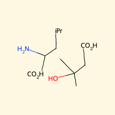 CC(C)(O)CC(=O)O.CC(C)CC(N)C(=O)O